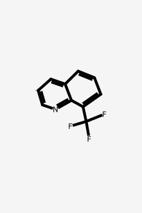 FC(F)(F)c1cccc2c[c]cnc12